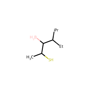 BC(C(C)S)C(CC)C(C)C